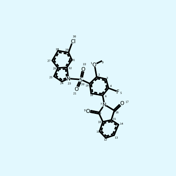 COc1cc(F)c(N2C(=O)c3ccccc3C2=O)cc1S(=O)(=O)n1ccc2ccc(Cl)cc21